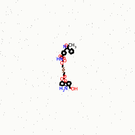 Cc1onc(-c2ccc(S(=O)(=O)NC(=O)OCCSSCCOC(=O)O[C@]3(c4cccc(CO)c4)CCCC[C@@H]3CN)cc2)c1-c1ccccc1